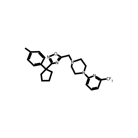 Cc1ccc(C2(c3noc(CN4CCN(c5cccc(C(F)(F)F)n5)CC4)n3)CCCC2)cc1